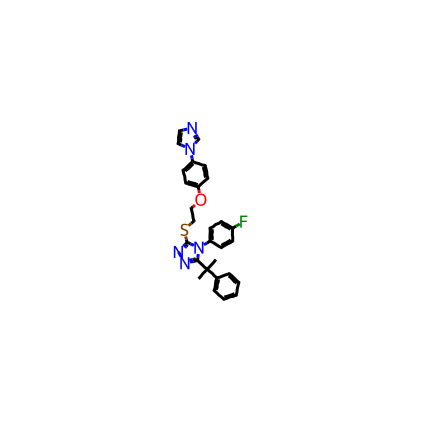 CC(C)(c1ccccc1)c1nnc(SCCOc2ccc(-n3ccnc3)cc2)n1-c1ccc(F)cc1